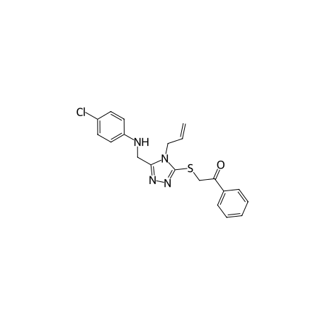 C=CCn1c(CNc2ccc(Cl)cc2)nnc1SCC(=O)c1ccccc1